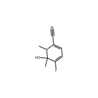 CN1C(C#N)=CC=C(F)C1(C)O